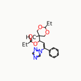 CCC(=O)OC(C=C(c1ccccc1)n1cncn1)C1(C)COC(CC)OC1